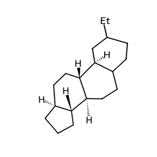 CCC1CCC2CC[C@H]3[C@@H]4CCC[C@H]4CC[C@@H]3[C@H]2C1